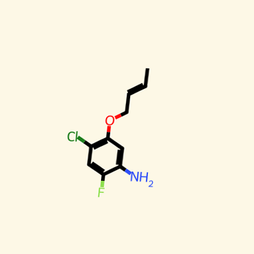 CC=CCOc1cc(N)c(F)cc1Cl